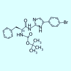 CC(C)(C)OC(=O)N[C@@H](Cc1ccccc1)C(=O)Nc1ncc(-c2ccc(Br)cc2)[nH]1